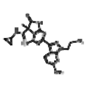 COc1ccc2c(-c3nc(N)c4c(n3)NC(=O)C4(C)C(=O)NC3CC3)nn(CCC(F)(F)F)c2n1